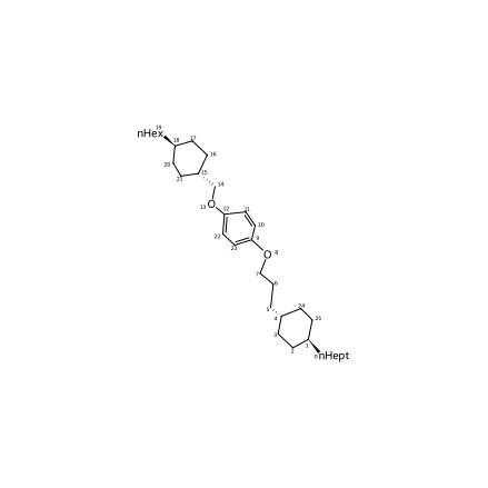 CCCCCCC[C@H]1CC[C@H](CCCOc2ccc(OC[C@H]3CC[C@H](CCCCCC)CC3)cc2)CC1